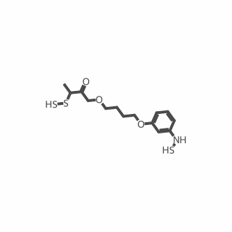 CC(SS)C(=O)COCCCCOc1cccc(NS)c1